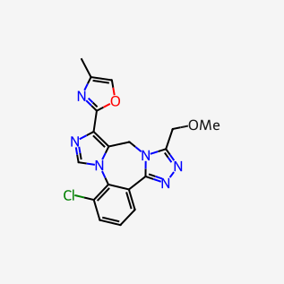 COCc1nnc2n1Cc1c(-c3nc(C)co3)ncn1-c1c(Cl)cccc1-2